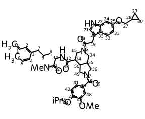 C=C/C=C(\C=C/C)CCC[C@H](NC(=O)C1CN(C(=O)Cc2c[nH]c3cc(OCC4CC4)ccc23)CC2CN(C(=O)c3ccc(OC(C)C)c(OC)c3)CC21)C(=O)NC